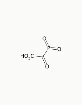 O=C(O)C(=O)P(=O)=O